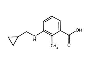 Cc1c(NCC2CC2)cccc1C(=O)O